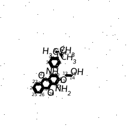 C[N+](C)(C)c1ccc(Nc2cc(OCCO)c(N)c3c2C(=O)c2ccccc2C3=O)cc1